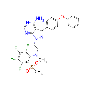 CN(CCn1nc(-c2ccc(Oc3ccccc3)cc2)c2c(N)ncnc21)c1c(F)c(F)c(F)c(F)c1S(C)(=O)=O